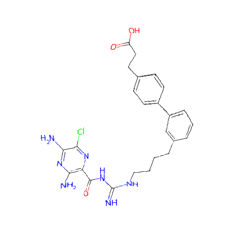 N=C(NCCCCc1cccc(-c2ccc(CCC(=O)O)cc2)c1)NC(=O)c1nc(Cl)c(N)nc1N